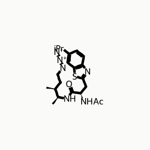 CC(=O)N[C@@H](Cc1nc2ccc(C(C)C)cc2s1)C(=O)N[C@@H](C)[C@@H](C)CCN=[N+]=[N-]